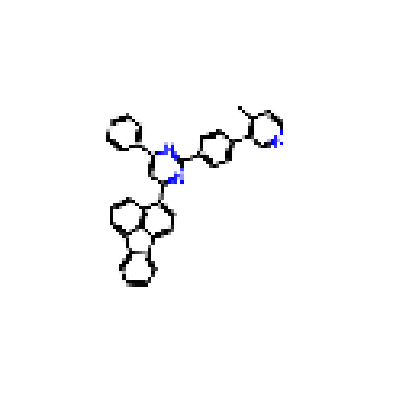 Cc1ccncc1-c1ccc(-c2nc(-c3ccccc3)cc(-c3ccc4c5c(cccc35)-c3ccccc3-4)n2)cc1